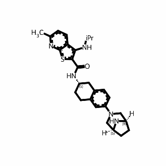 Cc1ccc2c(NC(C)C)c(C(=O)N[C@H]3CCc4cc(N5C[C@H]6CC[C@@H](C5)N6)ccc4C3)sc2n1